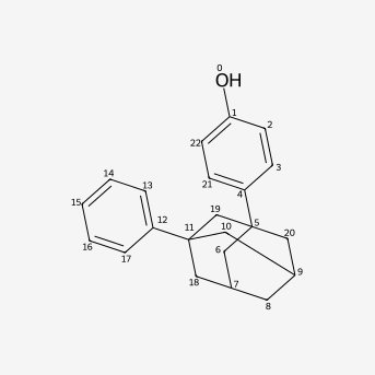 Oc1ccc(C23CC4CC(CC(c5ccccc5)(C4)C2)C3)cc1